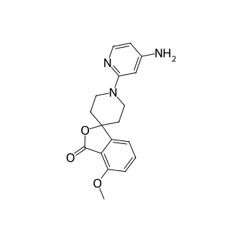 COc1cccc2c1C(=O)OC21CCN(c2cc(N)ccn2)CC1